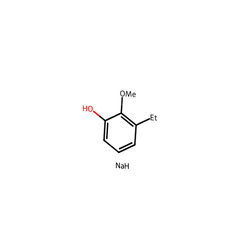 CCc1cccc(O)c1OC.[NaH]